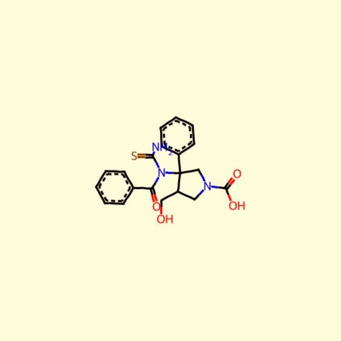 NC(=S)N(C(=O)c1ccccc1)C1(c2ccccc2)CN(C(=O)O)CC1CO